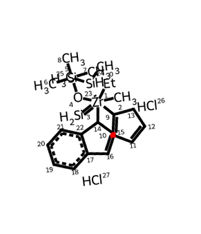 C[CH2][Zr]([CH3])(=[SiH2])([O][Si](C)(C)C)([C]1=CC=CC1)([CH]1C=Cc2ccccc21)[SiH](C)C.Cl.Cl